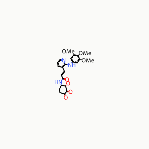 COc1cc(Nc2ncccc2/C=C/C(=O)NC2CCC(=O)C(=O)C2=O)cc(OC)c1OC